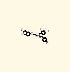 O=C1Cc2cc(OCCCN(CCc3ccc(F)cc3)Cc3cccc(C(F)(F)F)c3F)ccc2CO1